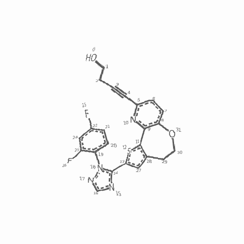 OCCC#Cc1ccc2c(n1)-c1sc(-c3ncnn3-c3ccc(F)cc3F)cc1CCO2